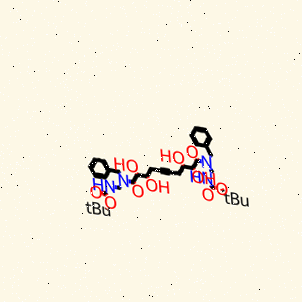 CC(C)(C)OC(=O)NCN(Cc1ccccc1)C(=O)C(O)C(O)CC#CCC(O)C(O)C(=O)N(CNC(=O)OC(C)(C)C)Cc1ccccc1